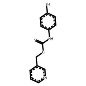 S=C(Nc1ccc(S)cc1)OCc1cccnc1